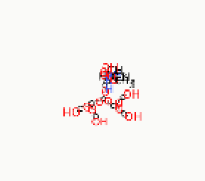 CC(NC(=O)C(Cc1ccc(OCc2cc(OCc3ccc(OCc4ccc(O)cc4)c(OCc4ccc(O)cc4)c3)cc(OCc3ccc(OCc4ccc(O)cc4)c(OCc4ccc(O)cc4)c3)c2)cc1)NC(=O)OC(C)(C)C)C(=O)O